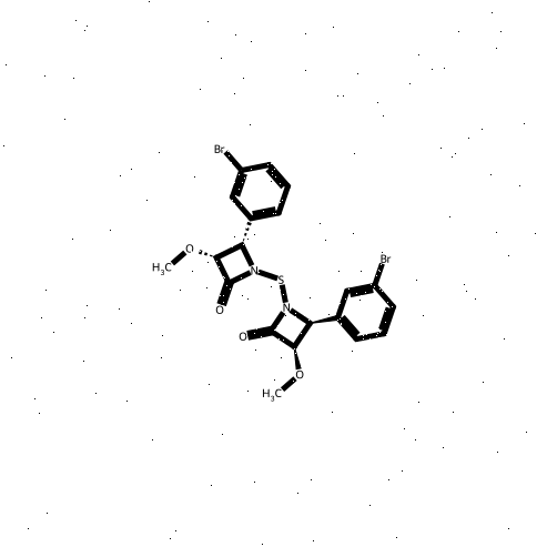 CO[C@H]1C(=O)N(SN2C(=O)[C@H](OC)[C@@H]2c2cccc(Br)c2)[C@H]1c1cccc(Br)c1